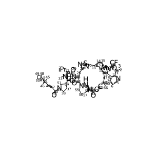 CO[C@@H](C)c1ncccc1-c1c2c3cc(ccc3n1CC(F)(F)F)-c1nc(ns1)C[C@H](NC(=O)[C@H](C(C)C)N(C)C(=O)[C@H]1CCN(C(=O)C#CC(C)(C)N3CCC3)C1)C(=O)N1CCC[C@H](N1)C(=O)OCC(C)(C)C2